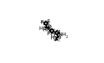 CC(C)NC(=O)c1cc(-c2ccc(NC(=O)C(O)c3cc(F)cc(F)c3)c(F)c2Cl)cnc1N